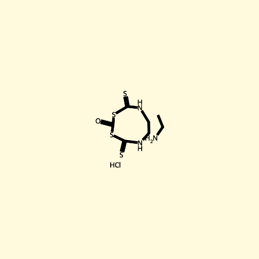 CCN.Cl.O=C1SC(=S)NCCNC(=S)S1